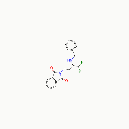 O=C1c2ccccc2C(=O)N1CCC(NCc1ccccc1)C(F)F